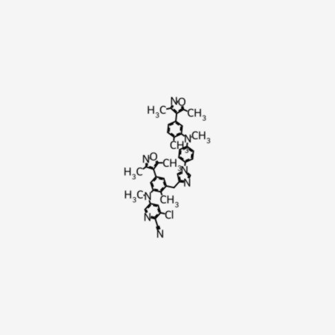 Cc1ccc(-c2c(C)noc2C)cc1N(C)c1ccc(-n2cnc(Cc3cc(-c4c(C)noc4C)cc(N(C)c4cnc(C#N)c(Cl)c4)c3C)c2)cc1